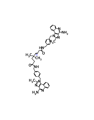 Cc1nc2c(N)nc3ccccc3c2n1Cc1ccc(CNC(=O)C/C=C/C(C)(C)CCC(=O)NCc2ccc(Cn3c(C)nc4c(N)nc5ccccc5c43)cc2)cc1